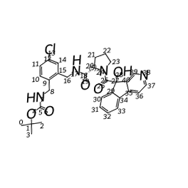 CC(C)(C)OC(=O)NCc1ccc(Cl)cc1CNC(=O)[C@@H]1CCCN1C(=O)C1(O)c2ccccc2-c2ccncc21